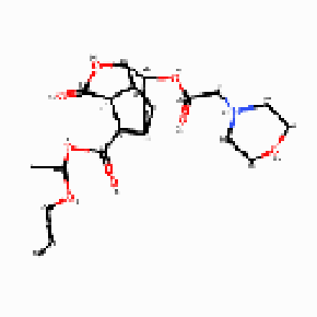 CCCOC(C)OC(=O)C1C2CC3C(OC(=O)C31)C2OC(=O)CN1CCOCC1